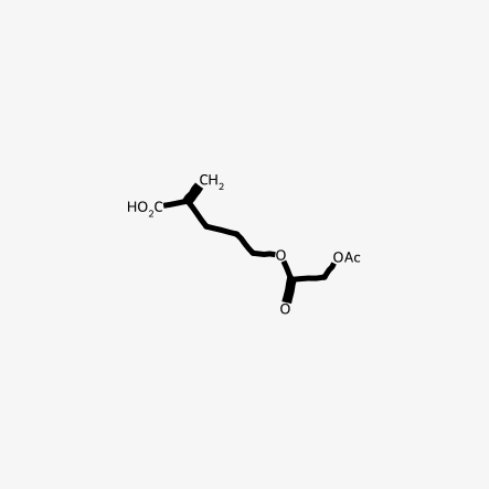 C=C(CCCOC(=O)COC(C)=O)C(=O)O